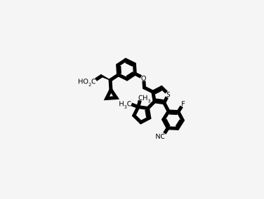 CC1(C)CCC=C1c1c(COc2cccc([C@H](CC(=O)O)C3CC3)c2)csc1-c1cc(C#N)ccc1F